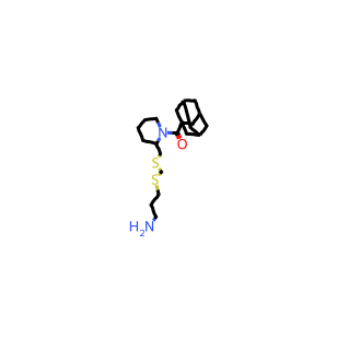 NCCCSCSCC1CCCCN1C(=O)C12CC3CC(CC(C3)C1)C2